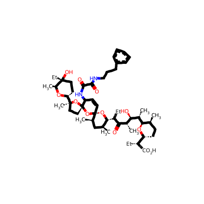 CCC(C(=O)[C@@H](C)[C@@H](O)[C@H](C)[C@@H]1O[C@@H]([C@@H](CC)C(=O)O)CC[C@@H]1C)[C@H]1O[C@]2(C=CC(NC(=O)C(=O)NCCCc3ccccc3)[C@]3(CC[C@@](C)([C@H]4CC[C@](O)(CC)[C@H](C)O4)O3)O2)[C@H](C)C[C@@H]1C